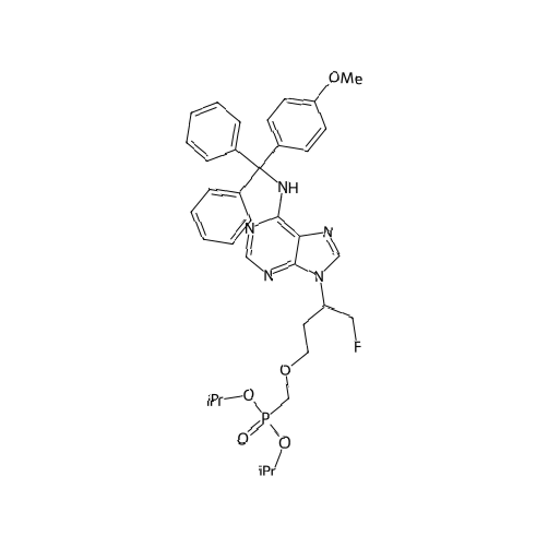 COc1ccc(C(Nc2ncnc3c2ncn3C(CF)CCOCP(=O)(OC(C)C)OC(C)C)(c2ccccc2)c2ccccc2)cc1